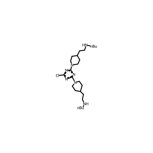 CCCCNCCC1CCN(c2nc(Cl)nc(N3CCC(CCNCCCC)CC3)n2)CC1